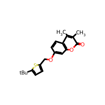 Cc1c(C)c2ccc(OCc3ccc(C(C)(C)C)s3)cc2oc1=O